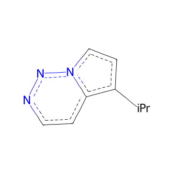 CC(C)c1ccn2nnccc12